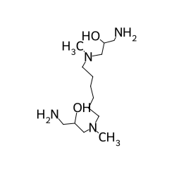 CN(CCCCCCN(C)CC(O)CN)CC(O)CN